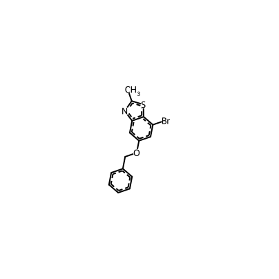 Cc1nc2cc(OCc3ccccc3)cc(Br)c2s1